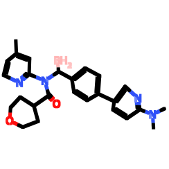 BC(c1ccc(-c2ccc(N(C)C)nc2)cc1)N(C(=O)C1CCOCC1)c1cc(C)ccn1